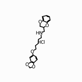 Cl.c1ccc2c(c1)OCC(CNCCCCCOc1ccc3c(c1)OCO3)O2